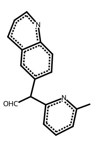 Cc1cccc(C(C=O)c2ccc3ncccc3c2)n1